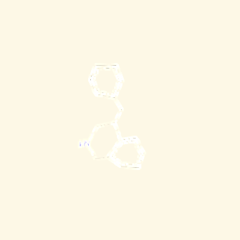 c1ccc(CC2CNCc3ccccc32)cc1